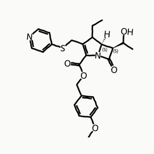 CCC1C(CSc2ccncc2)=C(C(=O)OCc2ccc(OC)cc2)N2C(=O)[C@H](C(C)O)[C@H]12